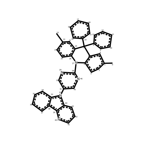 Cc1ccc2c(c1)C(c1ccccc1)(c1ccccc1)c1cc(C)ccc1N2c1ncc(-n2c3ccccc3c3ncccc32)cn1